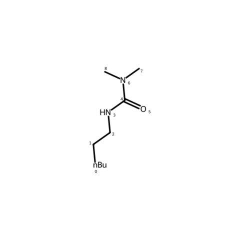 CCCCCCNC(=O)N(C)C